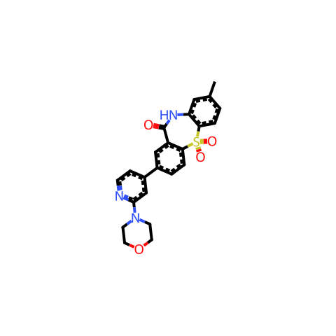 Cc1ccc2c(c1)NC(=O)c1cc(-c3ccnc(N4CCOCC4)c3)ccc1S2(=O)=O